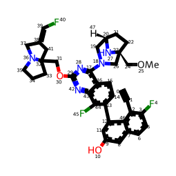 C#Cc1c(F)ccc2cc(O)cc(-c3ccc4c(N5C[C@@H]6CC[C@](COC)(C5)N6)nc(OCC56CCCN5C/C(=C/F)C6)nc4c3F)c12